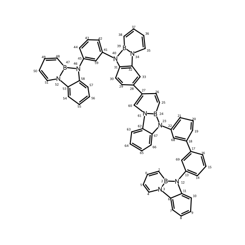 C1=CB2N(C=C1)c1ccccc1N2c1cccc(-c2cccc(N3B4C=CC(c5ccc6c(c5)N5C=CC=CB5N6c5cccc(N6B7C=CC=CN7c7ccccc76)c5)=CN4c4ccccc43)c2)c1